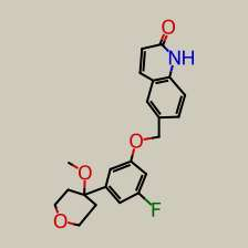 COC1(c2cc(F)cc(OCc3ccc4[nH]c(=O)ccc4c3)c2)CCOCC1